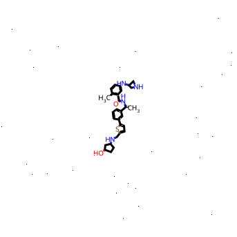 Cc1ccc(NC2CNC2)cc1C(=O)N[C@H](C)c1cccc(-c2ccc(CNC3CCC(O)C3)s2)c1